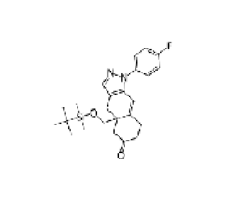 CC(C)(C)[Si](C)(C)OCC12CC(=O)CCC1=Cc1c(cnn1-c1ccc(F)cc1)C2